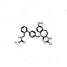 CCC(=O)N[C@@H]1CCc2cc(SC)ccc2N(Cc2ccc(-c3ccccc3CNC(N)=O)cc2)C1=O